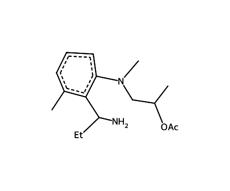 CCC(N)c1c(C)cccc1N(C)CC(C)OC(C)=O